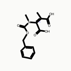 C/C(C(=O)O)=C(/C(=O)O)N(C)C(=O)OCc1ccccc1